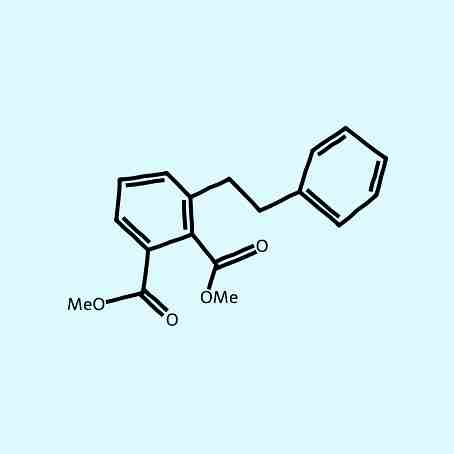 COC(=O)c1cccc(CCc2ccccc2)c1C(=O)OC